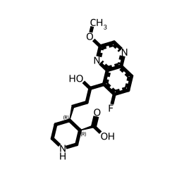 COc1cnc2ccc(F)c(C(O)CC[C@@H]3CCNC[C@@H]3C(=O)O)c2n1